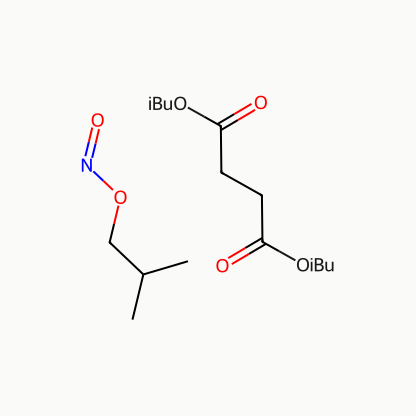 CC(C)COC(=O)CCC(=O)OCC(C)C.CC(C)CON=O